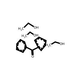 CCO.CCO.CCO.O=C(c1ccccc1)c1ccccc1